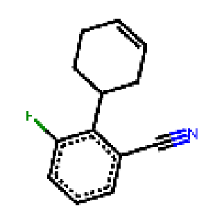 N#Cc1cccc(F)c1C1CC=CCC1